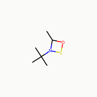 CC1OSN1C(C)(C)C